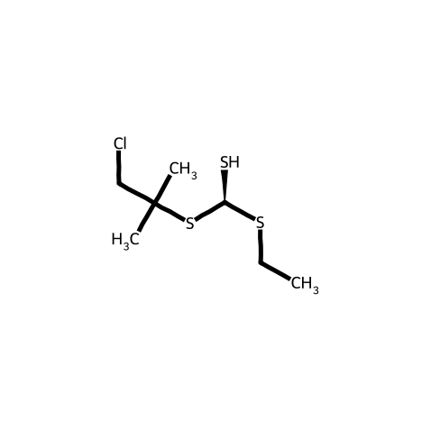 CCS[C@H](S)SC(C)(C)CCl